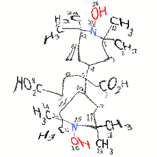 CC1(C)CC(C(CCC(=O)O)(C(=O)O)C2CC(C)(C)N(O)C(C)(C)C2)CC(C)(C)N1O